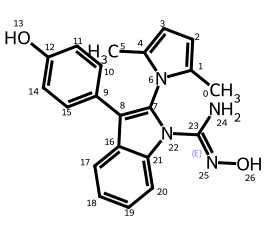 Cc1ccc(C)n1-c1c(-c2ccc(O)cc2)c2ccccc2n1/C(N)=N/O